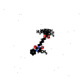 Cc1cn(-c2ccccc2)c(=O)n(CCCCCCOC(=O)C(C)(CC(C)C)C(C)C)c1=O